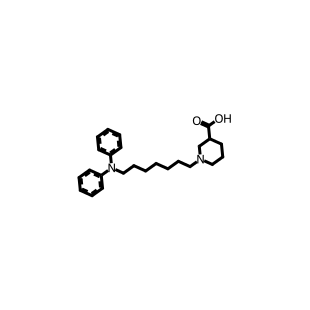 O=C(O)C1CCCN(CCCCCCCN(c2ccccc2)c2ccccc2)C1